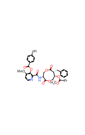 CCCc1ccc(C(=O)Oc2c(OC)ccnc2C(=O)N[C@H]2COC(=O)[C@H](Cc3ccccc3)[C@@H](OC(=O)C(C)C)[C@H](C)OC2=O)cc1